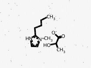 CC(O)C(=O)[O-].CCCCc1[nH]cc[n+]1C